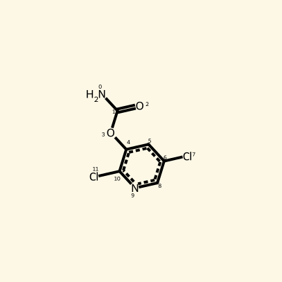 NC(=O)Oc1cc(Cl)cnc1Cl